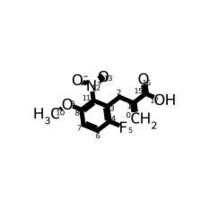 C=C(Cc1c(F)ccc(OC)c1[N+](=O)[O-])C(=O)O